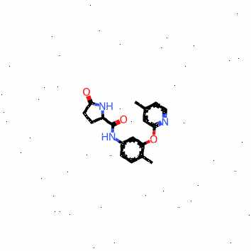 Cc1ccnc(Oc2cc(NC(=O)C3CCC(=O)N3)ccc2C)c1